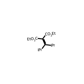 CCOC(=O)C(C(=O)OCC)=C(C(C)C)C(C)C